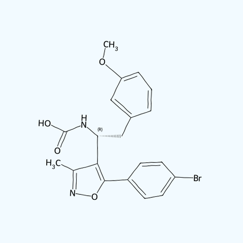 COc1cccc(C[C@@H](NC(=O)O)c2c(C)noc2-c2ccc(Br)cc2)c1